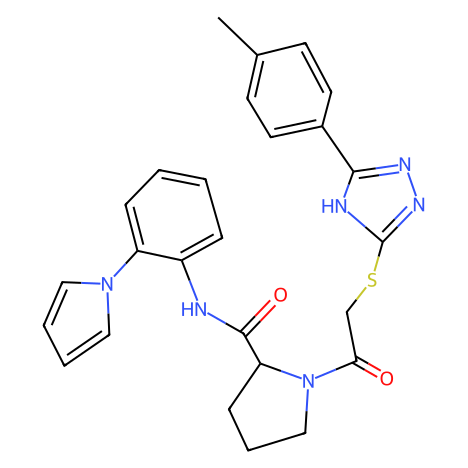 Cc1ccc(-c2nnc(SCC(=O)N3CCCC3C(=O)Nc3ccccc3-n3cccc3)[nH]2)cc1